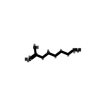 C=C(O)COCCCS(=O)(=O)O